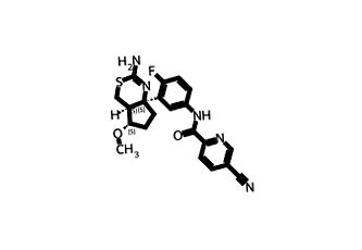 CO[C@H]1CC[C@]2(c3cc(NC(=O)c4ccc(C#N)cn4)ccc3F)N=C(N)SC[C@H]12